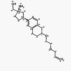 C=CCOCCOC1CCc2cc([C@H]3CC[C@](N)(CO)C3)ccc2C1